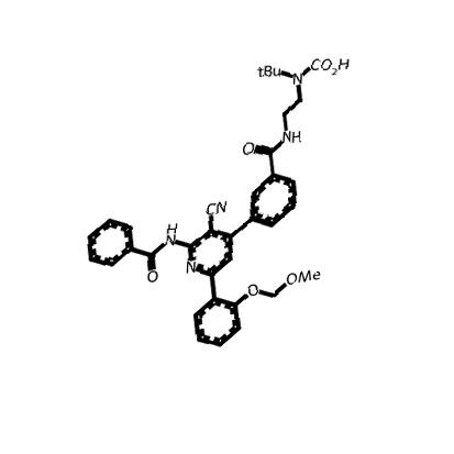 COCOc1ccccc1-c1cc(-c2cccc(C(=O)NCCN(C(=O)O)C(C)(C)C)c2)c(C#N)c(NC(=O)c2ccccc2)n1